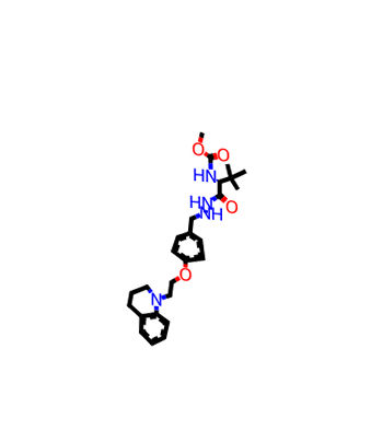 COC(=O)N[C@@H](C(=O)NNCc1ccc(OCCN2CCCc3ccccc32)cc1)C(C)(C)C